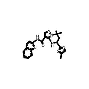 Cc1cnc(C2CC(C)(C)n3ncc(C(=O)Nc4ccc5ccccc5n4)c3N2)s1